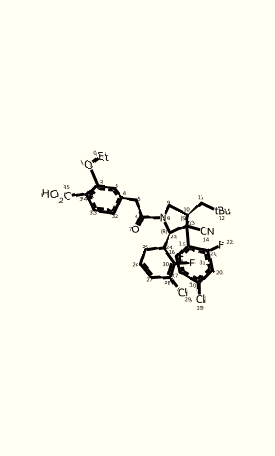 CCOc1cc(CC(=O)N2C[C@@H](CC(C)(C)C)C(C#N)(c3ccc(Cl)cc3F)[C@H]2C2CC=CC(Cl)=C2F)ccc1C(=O)O